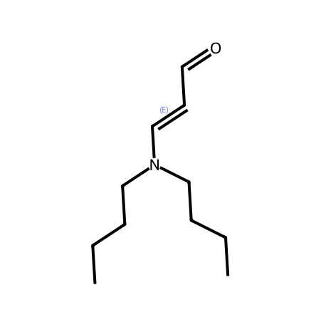 CCCCN(/C=C/C=O)CCCC